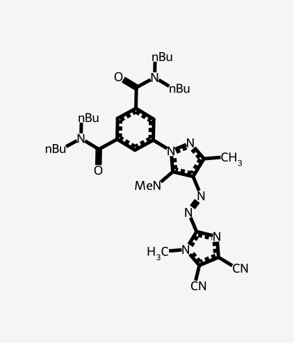 CCCCN(CCCC)C(=O)c1cc(C(=O)N(CCCC)CCCC)cc(-n2nc(C)c(N=Nc3nc(C#N)c(C#N)n3C)c2NC)c1